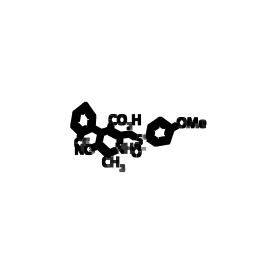 COc1ccc([S+]([O-])CC2=C(C(=O)O)C(c3ccccc3C(F)(F)F)C(C#N)=C(C)N2)cc1